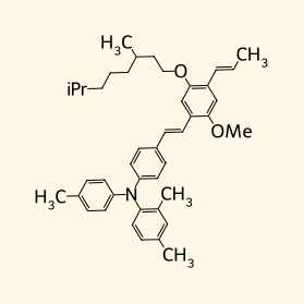 CC=Cc1cc(OC)c(C=Cc2ccc(N(c3ccc(C)cc3)c3ccc(C)cc3C)cc2)cc1OCCC(C)CCCC(C)C